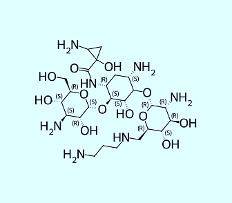 NCCCNC[C@H]1O[C@H](OC2[C@@H](N)C[C@@H](NC(=O)C3(O)CC3N)[C@H](O[C@H]3O[C@H](CO)[C@@H](O)[C@H](N)[C@H]3O)[C@H]2O)[C@H](N)[C@@H](O)[C@@H]1O